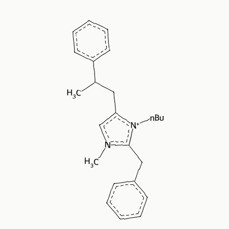 CCCC[n+]1c(CC(C)c2ccccc2)cn(C)c1Cc1ccccc1